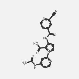 N#Cc1cc(C(=O)Nc2ccn(-c3cc(NC(N)=O)ccn3)c2C(=O)O)ccn1